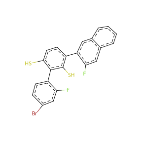 Fc1cc2ccccc2cc1-c1ccc(S)c(-c2ccc(Br)cc2F)c1S